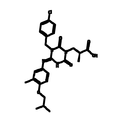 Cc1cc(/N=c2\[nH]c(=O)n(C[C@H](C)C(=O)O)c(=O)n2Cc2ccc(Cl)cc2)ccc1OCC(C)C